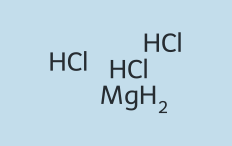 Cl.Cl.Cl.[MgH2]